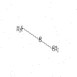 CC(C)CCCCCCCCCCCCCCC(=O)OCCCCCCCCCCC(C)C